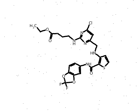 CCOC(=O)CCCNc1nc(Cl)cc(CNc2ccsc2C(=O)Nc2ccc3c(c2)OC(F)(F)O3)n1